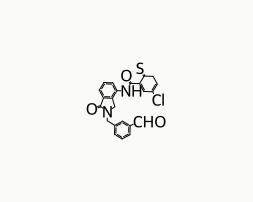 O=Cc1cccc(CN2Cc3c(NC(=O)C4=CC(Cl)=CCC4=S)cccc3C2=O)c1